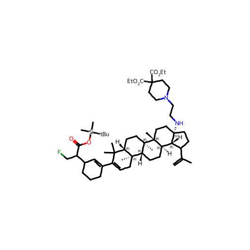 C=C(C)C1CC[C@]2(NCCN3CCC(C(=O)OCC)(C(=O)OCC)CC3)CC[C@]3(C)[C@H](CC[C@@H]4[C@@]5(C)CC=C(C6=CC(C(CF)C(=O)O[Si](C)(C)C(C)(C)C)CCC6)C(C)(C)[C@@H]5CC[C@]43C)[C@@H]12